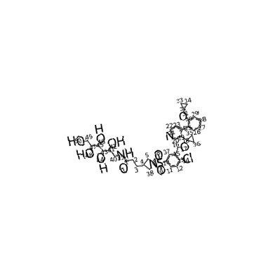 O=C(CCC1CN(S(=O)(=O)c2ccc(Cl)c(COC3(c4cnccc4-c4ccccc4OC4CC4)CC3)c2)C1)NCC(O)C(O)C(O)C(O)CO